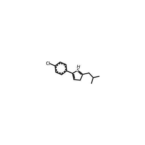 CC(C)CC1=[SH]C(c2ccc(Cl)cc2)=CC1